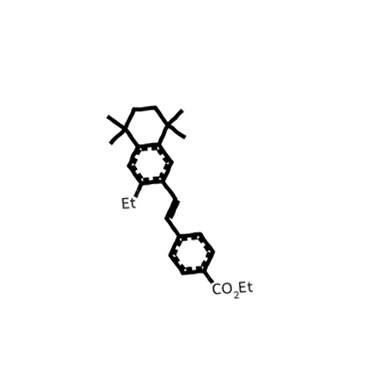 CCOC(=O)c1ccc(/C=C/c2cc3c(cc2CC)C(C)(C)CCC3(C)C)cc1